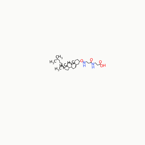 CC(C)CCC[C@@H](C)[C@H]1CCC2C3CC=C4CC(ONCCC(=O)NCCC(=O)O)CC[C@]4(C)C3CC[C@@]21C